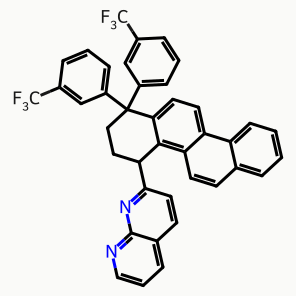 FC(F)(F)c1cccc(C2(c3cccc(C(F)(F)F)c3)CCC(c3ccc4cccnc4n3)c3c2ccc2c3ccc3ccccc32)c1